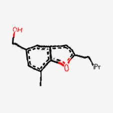 Cc1cc(CO)cc2cc(CC(C)C)oc12